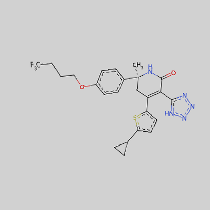 C[C@@]1(c2ccc(OCCCC(F)(F)F)cc2)CC(c2ccc(C3CC3)s2)=C(c2nnn[nH]2)C(=O)N1